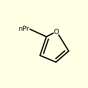 C[CH]Cc1ccco1